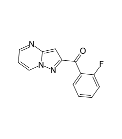 O=C(c1cc2ncccn2n1)c1ccccc1F